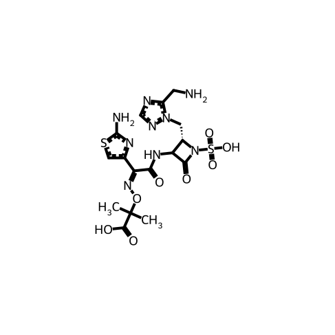 CC(C)(O/N=C(\C(=O)NC1C(=O)N(S(=O)(=O)O)[C@H]1Cn1ncnc1CN)c1csc(N)n1)C(=O)O